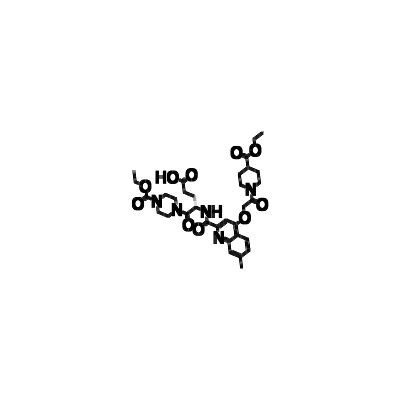 CCOC(=O)C1CCN(C(=O)COc2cc(C(=O)N[C@@H](CCC(=O)O)C(=O)N3CCN(C(=O)OCC)CC3)nc3cc(C)ccc23)CC1